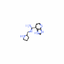 NC(=NCC1CCCN1)c1ccnc2nc[nH]c12